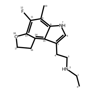 CCNCCc1c[nH]c2c(C)c(F)c3c(c12)CCO3